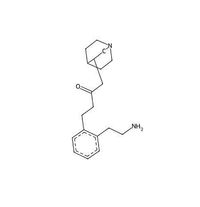 NCCc1ccccc1CCC(=O)CC1CN2CCC1CC2